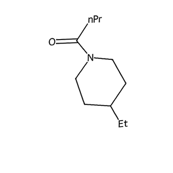 [CH2]CC1CCN(C(=O)CCC)CC1